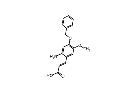 COc1cc(/C=C/C(=O)O)c(N)cc1OCc1ccccc1